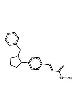 O=C(/C=C/c1ccc(C2CCCN2Cc2ccccc2)cc1)NO